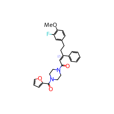 COc1ccc(CC/C(=C/C(=O)N2CCN(C(=O)c3ccco3)CC2)c2ccccc2)cc1F